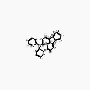 c1ccc(N(c2cccnc2)c2ccc3c4c(cccc24)-c2ccccc2-3)nc1